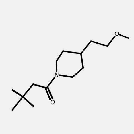 COCCC1CCN(C(=O)CC(C)(C)C)CC1